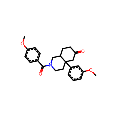 COc1ccc(C(=O)N2CCC3(c4cccc(OC)c4)CC(=O)CCC3C2)cc1